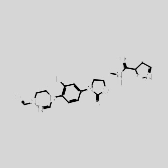 O=CN1CCN(c2ccc(N3C[C@H](CNC(=O)C4CC=NO4)OC3=O)cc2F)C=N1